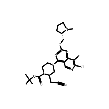 CN1CCC[C@H]1COc1nc(N2CCN(C(=O)OC(C)(C)C)C(CC#N)C2)c2cnc(Cl)c(F)c2n1